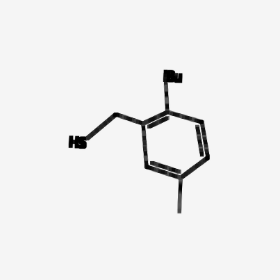 CCC(C)c1ccc(C)cc1CS